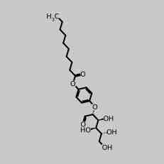 CCCCCCCCCC(=O)Oc1ccc(O[C@@H](C=O)[C@@H](O)[C@H](O)[C@H](O)CO)cc1